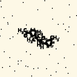 CC(=O)c1cccc(C(C)(C)NC(=O)Nc2cccc(C)c2)c1